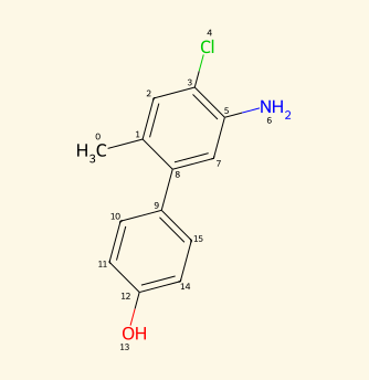 Cc1cc(Cl)c(N)cc1-c1ccc(O)cc1